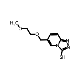 COCCOCc1ccc2nnc(S)n2c1